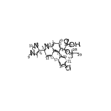 Cc1cc2nc(-c3cn(C)cn3)ccc2c(-c2ccc(Cl)cc2)c1C(OC(C)(C)C)C(=O)O